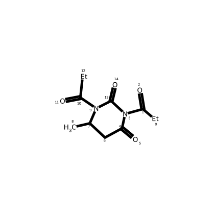 CCC(=O)N1C(=O)CC(C)N(C(=O)CC)C1=O